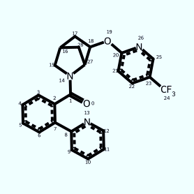 O=C(c1ccccc1-c1ccccn1)N1CC2CC(Oc3ccc(C(F)(F)F)cn3)C1C2